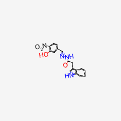 O=C(Cc1c[nH]c2ccccc12)N/N=C/c1ccc([N+](=O)[O-])c(O)c1